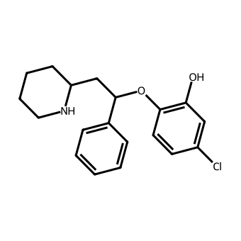 Oc1cc(Cl)ccc1OC(CC1CCCCN1)c1ccccc1